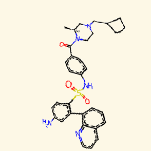 C[C@H]1CN(CC2CCC2)CCN1C(=O)c1ccc(NS(=O)(=O)c2ccc(N)cc2-c2cccc3cccnc23)cc1